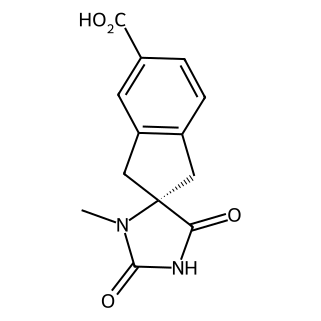 CN1C(=O)NC(=O)[C@@]12Cc1ccc(C(=O)O)cc1C2